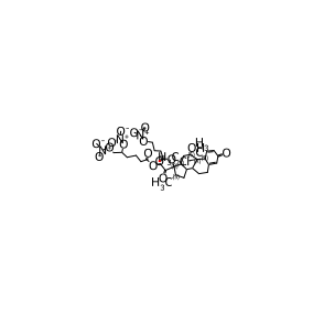 C[C@H]1CC2C3CCC4=CC(=O)C=C[C@]4(C)[C@@]3(Cl)[C@@H](O)C[C@]2(C)[C@@]1(OC(=O)CCCO[N+](=O)[O-])C(=O)COC(=O)CCCC(CO[N+](=O)[O-])O[N+](=O)[O-]